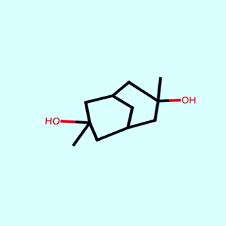 CC1(O)CC2CC(C1)CC(C)(O)C2